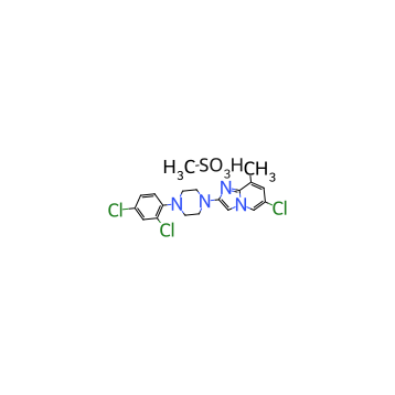 CS(=O)(=O)O.Cc1cc(Cl)cn2cc(N3CCN(c4ccc(Cl)cc4Cl)CC3)nc12